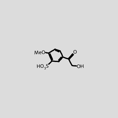 COc1ccc(C(=O)CO)cc1S(=O)(=O)O